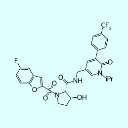 CC(C)n1cc(CNC(=O)[C@@H]2[C@@H](O)CCN2S(=O)(=O)c2cc3cc(F)ccc3o2)cc(-c2ccc(C(F)(F)F)cc2)c1=O